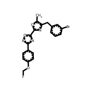 Cc1oc(-c2nc(-c3ccc(OCF)cc3)no2)nc1Cc1cccc(Br)c1